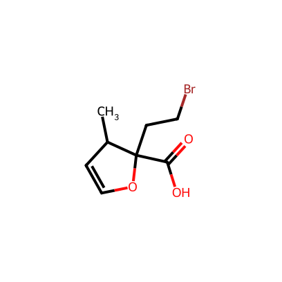 CC1C=COC1(CCBr)C(=O)O